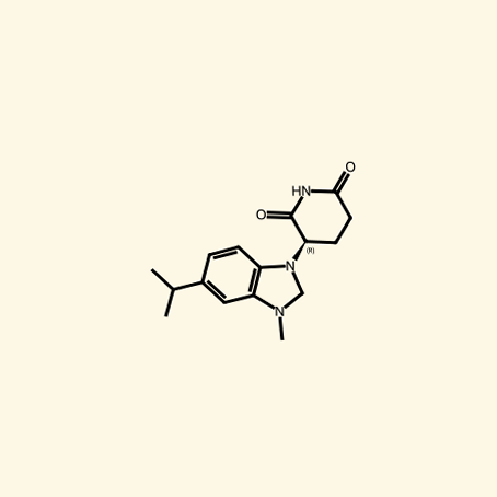 CC(C)c1ccc2c(c1)N(C)CN2[C@@H]1CCC(=O)NC1=O